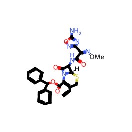 C=CC1=C(C(=O)OC(c2ccccc2)c2ccccc2)N2C(=O)C(NC(=O)/C(=N\OC)c3noc(N)n3)[C@H]2SC1